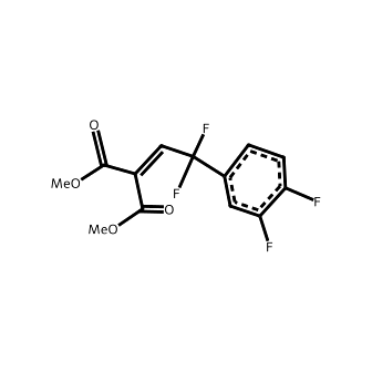 COC(=O)C(=CC(F)(F)c1ccc(F)c(F)c1)C(=O)OC